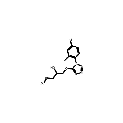 Cc1cc(Cl)ccc1-n1nnnc1OCC(O)CNC(C)(C)C